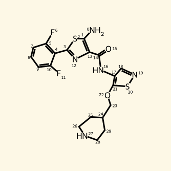 Nc1sc(-c2c(F)cccc2F)nc1C(=O)Nc1cnsc1OCC1CCNCC1